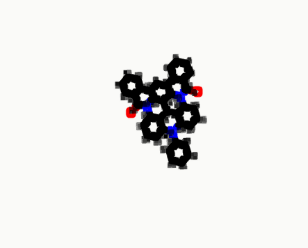 O=c1c2ccccc2c2cc3c4ccccc4c(=O)n4c3c3c2n1-c1cccc2c1B3c1c(cccc1-4)N2c1ccccc1